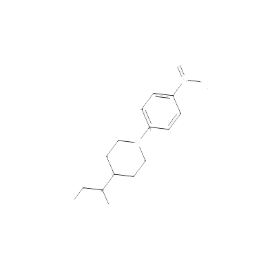 CCC(O)C1CCN(c2ccc([N+](=O)[O-])cc2)CC1